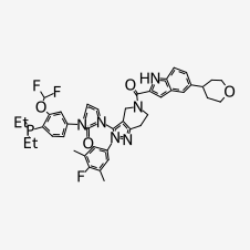 CCP(CC)c1ccc(-n2ccn(-c3c4c(nn3-c3cc(C)c(F)c(C)c3)CCN(C(=O)c3cc5cc(C6CCOCC6)ccc5[nH]3)C4)c2=O)cc1OC(F)F